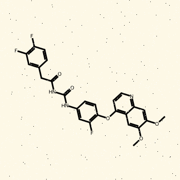 COc1cc2nccc(Oc3ccc(NC(=O)NC(=O)Cc4ccc(F)c(F)c4)cc3F)c2cc1OC